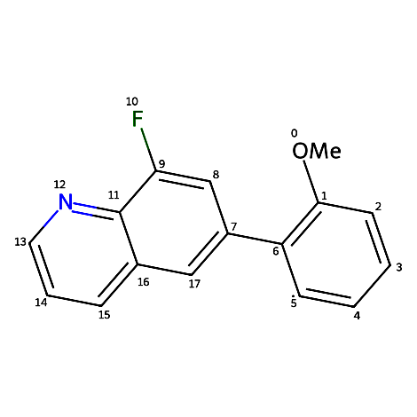 COc1ccc[c]c1-c1cc(F)c2ncccc2c1